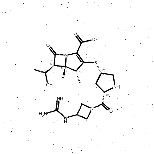 CC(O)[C@H]1C(=O)N2C(C(=O)O)=C(S[C@@H]3CN[C@H](C(=O)N4CC(NC(=N)N)C4)C3)[C@H](C)[C@H]12